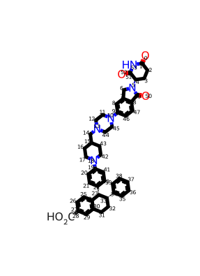 O=C1CC[C@H](N2Cc3cc(N4CCN(CC5CCN(c6ccc([C@H]7c8ccc(C(=O)O)cc8CC[C@H]7c7ccccc7)cc6)CC5)CC4)ccc3C2=O)C(=O)N1